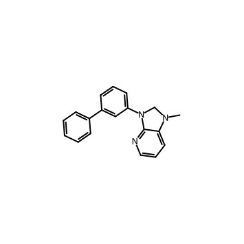 CN1CN(c2cccc(-c3ccccc3)c2)c2ncccc21